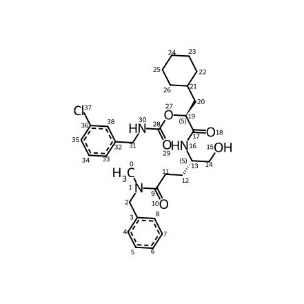 CN(Cc1ccccc1)C(=O)CC[C@@H](CO)NC(=O)[C@H](CC1CCCCC1)OC(=O)NCc1cccc(Cl)c1